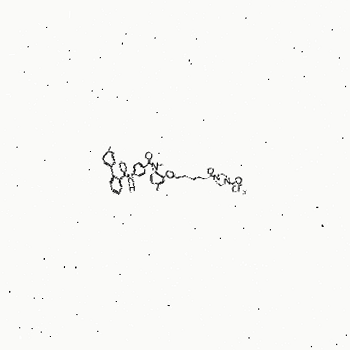 Cc1ccc(-c2ccccc2C(=O)Nc2ccc(C(=O)N(C)c3ccc(C)cc3OCCCCCC(=O)N3CCN(C(=O)C(F)(F)F)CC3)cc2)cc1